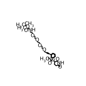 Cn1c(=O)n(C2CCC(=O)NC2=O)c2cccc(C#CCOCCOCCOCCOCCNC(=O)OC(C)(C)C)c21